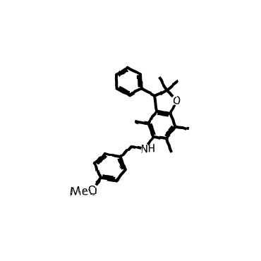 COc1ccc(CNc2c(C)c(C)c3c(c2C)C(c2ccccc2)C(C)(C)O3)cc1